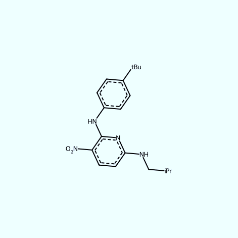 CC(C)CNc1ccc([N+](=O)[O-])c(Nc2ccc(C(C)(C)C)cc2)n1